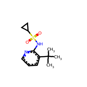 CC(C)(C)c1cccnc1NS(=O)(=O)C1CC1